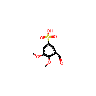 COc1cc(S(=O)(=O)O)cc(C=O)c1OC